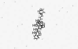 Cl.O=C(Nc1ccccc1Cl)Nc1ccc(Cl)c(S(=O)(=O)NCCCN2CCOCC2)c1O